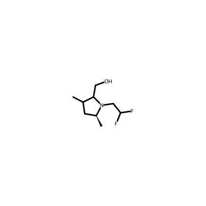 CC1C[C@H](C)N(CC(F)F)C1CO